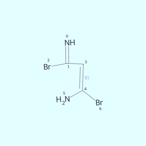 N=C(Br)/C=C(\N)Br